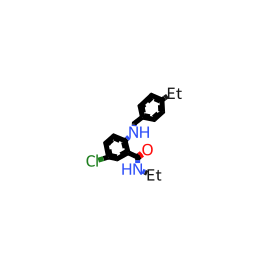 CCNC(=O)c1cc(Cl)ccc1NCc1ccc(CC)cc1